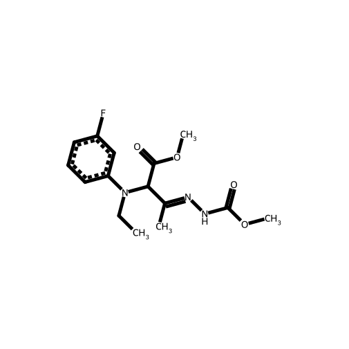 CCN(c1cccc(F)c1)C(C(=O)OC)/C(C)=N/NC(=O)OC